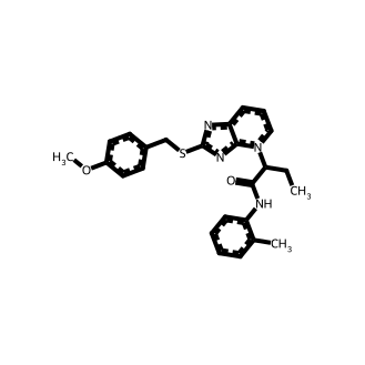 CCC(C(=O)Nc1ccccc1C)n1cccc2nc(SCc3ccc(OC)cc3)nc1-2